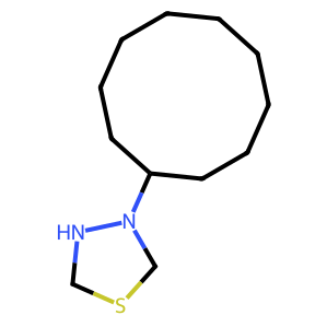 C1CCCCC(N2CSCN2)CCCC1